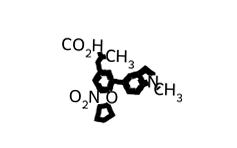 CC(Cc1cc(-c2ccc3c(ccn3C)c2)c(OC2CCCC2)c([N+](=O)[O-])c1)C(=O)O